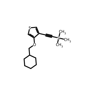 C[Si](C)(C)C#Cc1cscc1OCC1CCCCC1